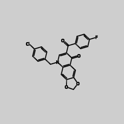 O=C(c1ccc(F)cc1)c1cn(Cc2ccc(Cl)cc2)c2cc3c(cc2c1=O)OCO3